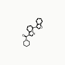 O=C(c1cnn2c(-c3coc4ccccc34)cccc12)N1CCCCC1